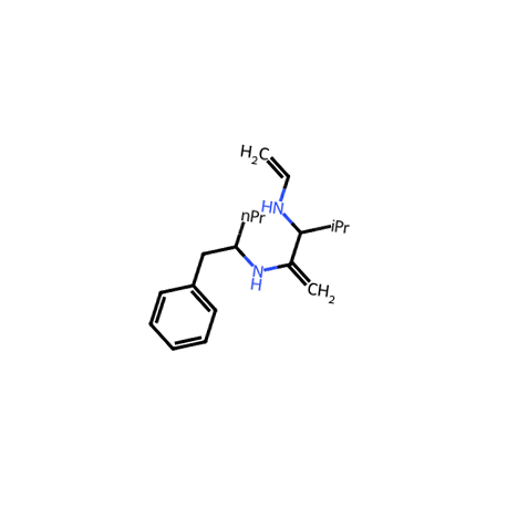 C=CNC(C(=C)NC(CCC)Cc1ccccc1)C(C)C